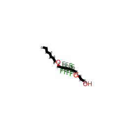 CCCCCCCOCC(F)(F)C(F)(F)C(F)(F)C(F)(F)COCCCO